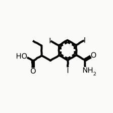 CCC(Cc1c(I)cc(I)c(C(N)=O)c1I)C(=O)O